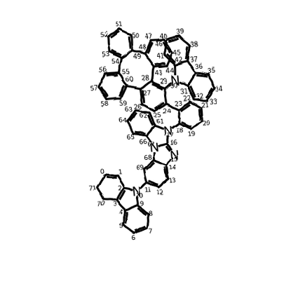 C1=Cc2c(c3ccccc3n2-c2ccc3nc4n(-c5ccccc5-c5ccc6c(c5-n5c7ccccc7c7ccccc75)-c5ccccc5-c5ccccc5-c5ccccc5-6)c5ccccc5n4c3c2)CC1